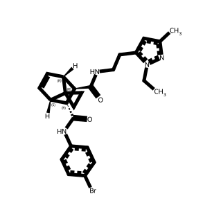 CCn1nc(C)cc1CCNC(=O)[C@H]1[C@H](C(=O)Nc2ccc(Br)cc2)[C@@H]2C=C[C@H]1C21CC1